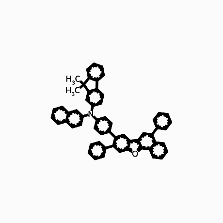 CC1(C)c2ccccc2-c2ccc(N(c3ccc(-c4cc5c(cc4-c4ccccc4)oc4c6ccccc6c(-c6ccccc6)cc54)cc3)c3ccc4ccccc4c3)cc21